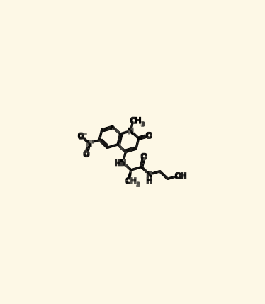 C[C@@H](Nc1cc(=O)n(C)c2ccc([N+](=O)[O-])cc12)C(=O)NCCO